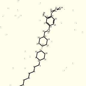 CCCCCCCC[C@H]1CC[C@H](C2CCC(COc3ccc(N=C=S)c(F)c3)CC2)CC1